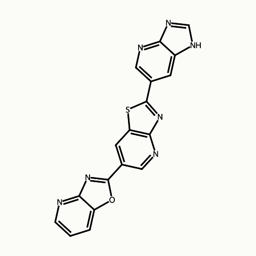 c1cnc2nc(-c3cnc4nc(-c5cnc6nc[nH]c6c5)sc4c3)oc2c1